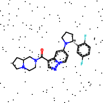 O=C(c1cnn2ccc(N3CCC[C@@H]3c3cc(F)ccc3F)cc12)N1CCN2CCCC2C1